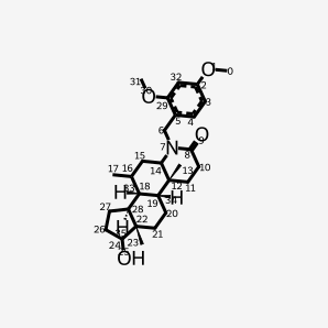 COc1ccc(CN2C(=O)CC[C@@]3(C)C2CC(C)[C@@H]2[C@H]3CC[C@]3(C)C(O)CC[C@@H]23)c(OC)c1